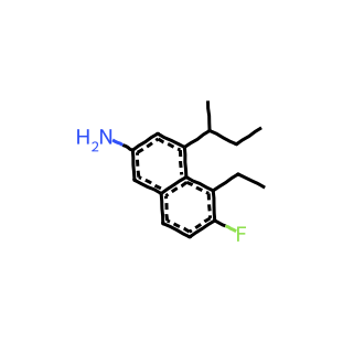 CCc1c(F)ccc2cc(N)cc(C(C)CC)c12